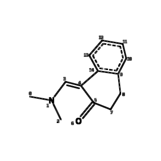 CN(C)C=C1C(=O)CCc2ccccc21